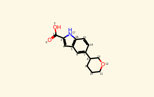 O=C(O)c1cc2cc(C3CCCOC3)ccc2[nH]1